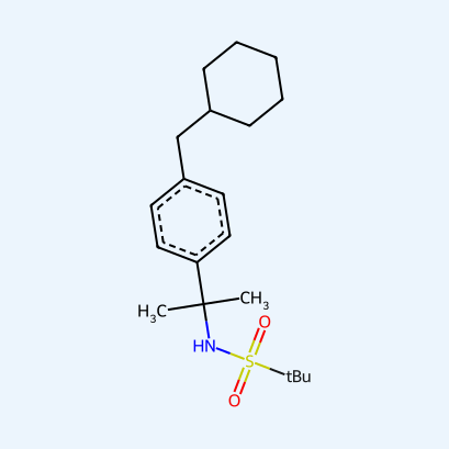 CC(C)(NS(=O)(=O)C(C)(C)C)c1ccc(CC2CCCCC2)cc1